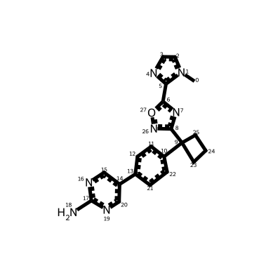 Cn1ccnc1-c1nc(C2(c3ccc(-c4cnc(N)nc4)cc3)CCC2)no1